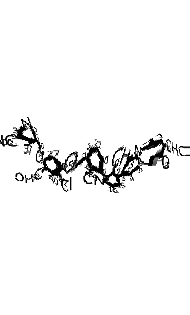 Cc1c(-c2ccn3c(=O)c(C=O)cnc3c2)cccc1-c1cccc(COc2cc(OCc3cncc(C#N)c3)c(C=O)cc2Cl)c1C#N